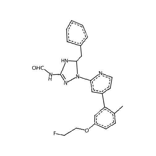 Cc1ccc(OCCF)cc1-c1ccnc(N2N=C(NC=O)NC2Cc2ccccc2)c1